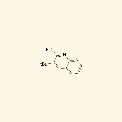 CC(C)(C)c1cc2cccnc2nc1C(F)(F)F